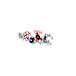 C=C/C=C(/C)SC(=C)c1cc(OCC2CN(C(=O)OC(C)(C)C)CCC2(C)F)cc(C(=O)O)c1